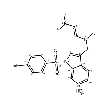 CN(C)C=CN(C)Cc1cn(S(=O)(=O)c2ccc(F)cc2)c2ccccc12.Cl